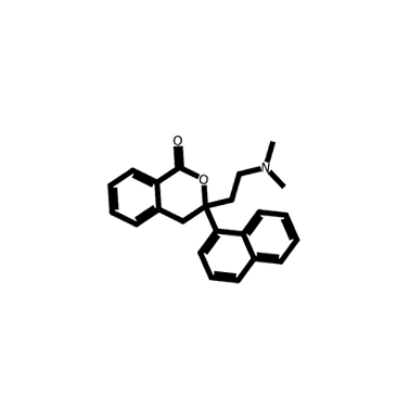 CN(C)CCC1(c2cccc3ccccc23)Cc2ccccc2C(=O)O1